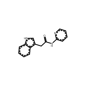 O=C(Cc1c[nH]c2ccccc12)Nc1ccccn1